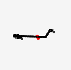 CCCCCCCC/C=C\CCCCCCCC(=O)OCCCCCCCCCCCCCCCCCCCCC(C)C